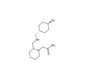 NC(=O)CN1CCCCC1CNC[C@H]1CC[C@H](O)CC1